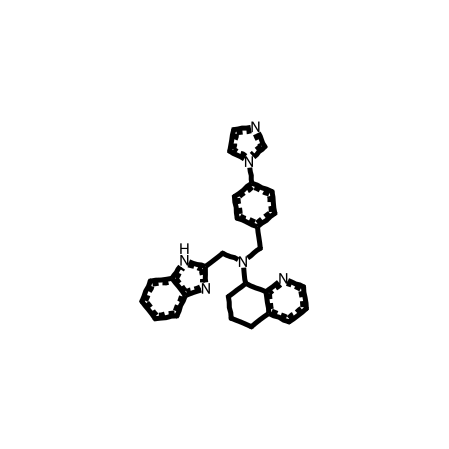 c1cnc2c(c1)CCCC2N(Cc1ccc(-n2ccnc2)cc1)Cc1nc2ccccc2[nH]1